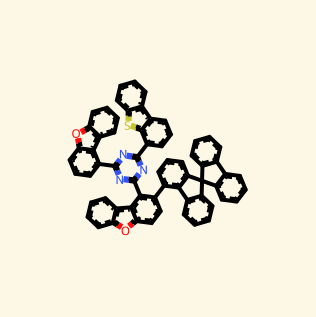 c1ccc2c(c1)-c1ccccc1C21c2ccccc2-c2c(-c3ccc4oc5ccccc5c4c3-c3nc(-c4cccc5c4sc4ccccc45)nc(-c4cccc5oc6ccccc6c45)n3)cccc21